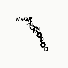 COC(=O)C1(CCN2CCc3nc(-c4ccc(OCc5ccc(Cl)cc5)cc4)ncc3C2)CC1